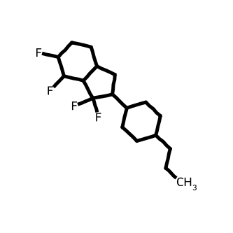 CCCC1CCC(C2CC3CCC(F)C(F)C3C2(F)F)CC1